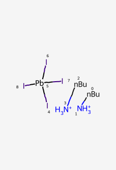 CCCC[NH3+].CCCC[NH3+].[I][Pb]([I])([I])[I]